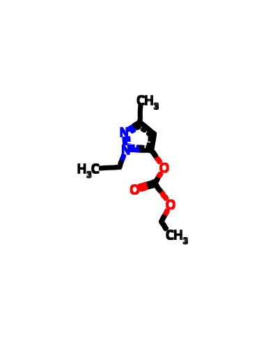 CCOC(=O)Oc1cc(C)nn1CC